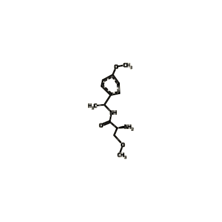 COC[C@H](N)C(=O)NC(C)c1ccc(OC)cc1